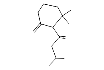 C=C1CCCC(C)(C)C1C(=O)CC(C)C